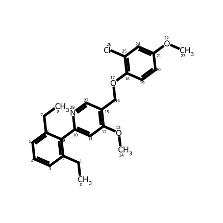 CCc1cccc(CC)c1-c1cc(OC)c(COc2ccc(OC)cc2Cl)cn1